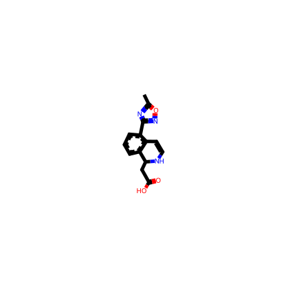 Cc1nc(-c2cccc3c2C=CNC3CC(=O)O)no1